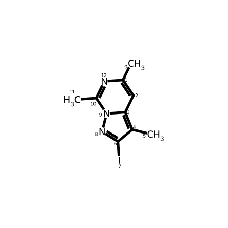 Cc1cc2c(C)c(I)nn2c(C)n1